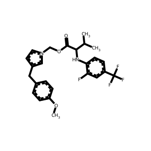 COc1ccc(Cc2ccn(COC(=O)C(Nc3ccc(C(F)(F)F)cc3F)C(C)C)c2)cc1